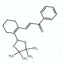 CC1(C)OB(C2=C(C=CC(=O)c3ccccc3)CCCC2)OC1(C)C